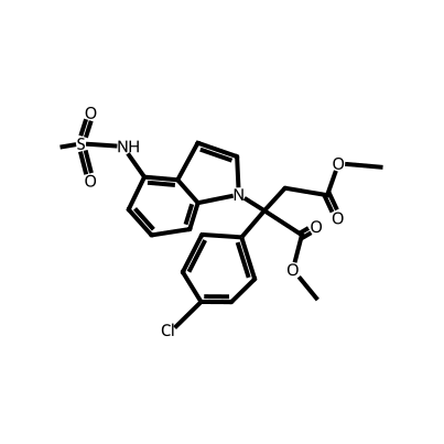 COC(=O)CC(C(=O)OC)(c1ccc(Cl)cc1)n1ccc2c(NS(C)(=O)=O)cccc21